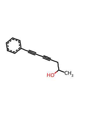 CC(O)CC#CC#Cc1ccccc1